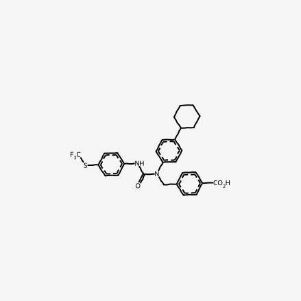 O=C(O)c1ccc(CN(C(=O)Nc2ccc(SC(F)(F)F)cc2)c2ccc(C3CCCCC3)cc2)cc1